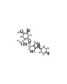 CC[C@H](NC(=O)c1cncc2c1cnn2-c1ccc(F)cc1)c1ccc(Br)c(OC)c1